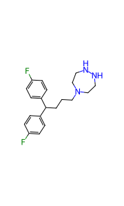 Fc1ccc(C(CCCN2CCNNCC2)c2ccc(F)cc2)cc1